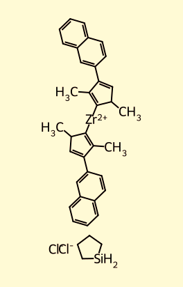 C1CC[SiH2]C1.CC1=[C]([Zr+2][C]2=C(C)C(c3ccc4ccccc4c3)=CC2C)C(C)C=C1c1ccc2ccccc2c1.[Cl-].[Cl-]